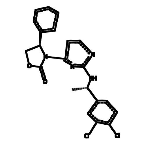 C[C@H](Nc1nccc(N2C(=O)OC[C@H]2c2ccccc2)n1)c1ccc(Cl)c(Cl)c1